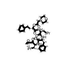 CC(C)C[C@H](NC(=O)[C@H](CCc1ccccc1)OC(=O)CN1CCOCC1)C(=O)N[C@@H](Cc1ccccc1)C(=O)N[C@@H](CC(C)C)C(=O)[C@@]1(C)CO1